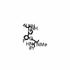 CN/C(C)=C(/CCOc1cc(F)ccc1-c1ccc(=N)n(C(=N)CN(C)C)c1)C(=N)CC(C)C